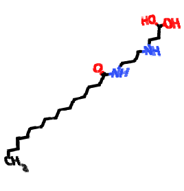 CCCCCCCCCCCCCCCC(=O)NCCCNCCC(O)O